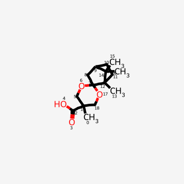 CC1(C(=O)O)COC2(CC3CCC2(C)C3(C)C)OC1